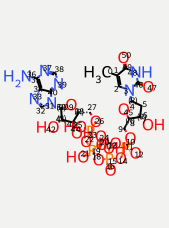 Cc1cn([C@H]2C[C@@H](O)[C@@H](COP(=O)(O)OP(=O)(O)OP(=O)(O)OP(=O)(O)OC[C@H]3O[C@@H](n4cnc5c(N)ncnc54)[C@@H](O)C3O)O2)c(=O)[nH]c1=O